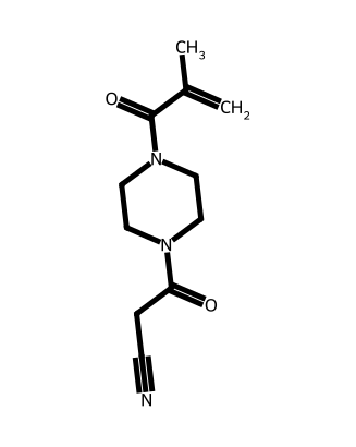 C=C(C)C(=O)N1CCN(C(=O)CC#N)CC1